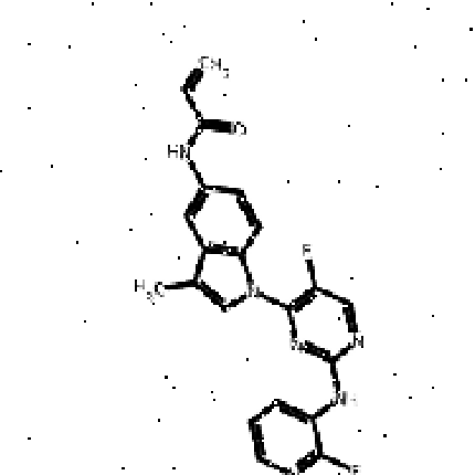 C=CC(=O)Nc1ccc2c(c1)c(C)cn2-c1nc(Nc2cccnc2F)ncc1F